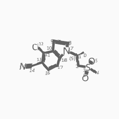 C[C@@H](CS(C)(=O)=O)n1ccc2c(Cl)c(C#N)ccc21